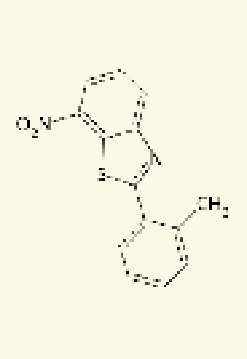 Cc1ccccc1-c1nc2cccc([N+](=O)[O-])c2s1